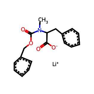 CN(C(=O)OCc1ccccc1)C(Cc1ccccc1)C(=O)[O-].[Li+]